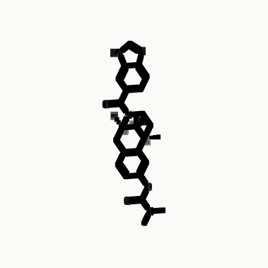 C[C@@H]1[C@H]2Cc3ccc(OC(=O)N(C)C)cc3[C@]1(C)CCN2C(=O)c1ccc2nc[nH]c2c1